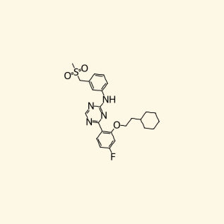 CS(=O)(=O)Cc1cccc(Nc2ncnc(-c3ccc(F)cc3OCCC3CCCCC3)n2)c1